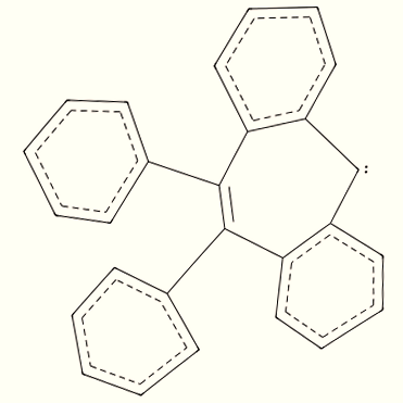 [C]1c2ccccc2C(c2ccccc2)=C(c2ccccc2)c2ccccc21